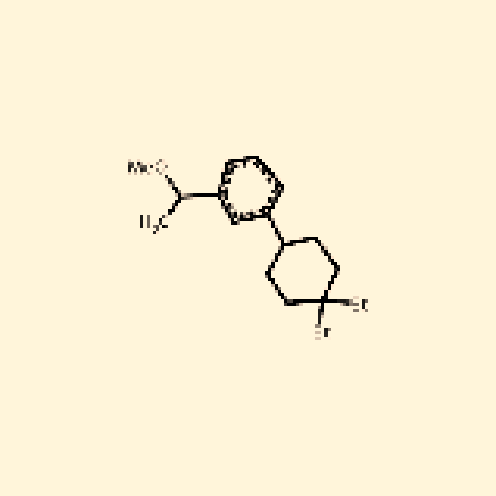 [CH2]C(OC)c1cccc(C2CCC(CC)(CC)CC2)c1